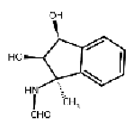 C[C@@]1(NC=O)c2ccccc2[C@H](O)[C@@H]1O